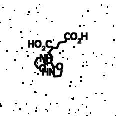 O=C(O)CCCC(CCC(C1NCCCO1)C1NCCCO1)C(=O)O